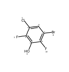 Oc1c(F)c(Cl)cc(Br)c1F